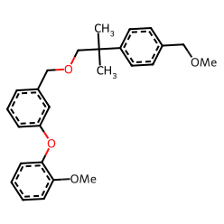 COCc1ccc(C(C)(C)COCc2cccc(Oc3ccccc3OC)c2)cc1